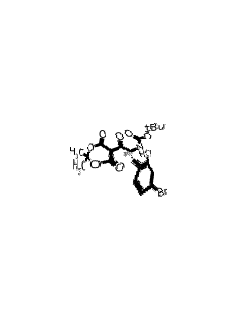 CC(C)(C)OC(=O)N[C@H](Cc1ccc(Br)cc1Cl)C(=O)C1C(=O)OC(C)(C)OC1=O